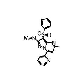 CNc1nn2c(-c3ccccn3)cc(C)nc2c1S(=O)(=O)c1ccccc1